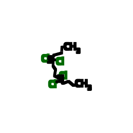 CCCC[Si](Cl)(Cl)CCC[Si](Cl)(Cl)CCCC